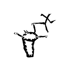 CC(Nc1n[n+]([O-])c2ccccc2[n+]1[O-])C(C)(C)C